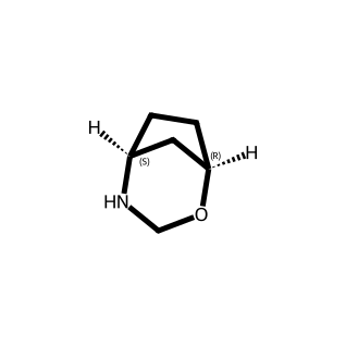 C1N[C@H]2CC[C@H](C2)O1